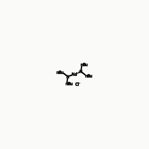 CCCC[N](CCCC)[Nd+][N](CCCC)CCCC.[Cl-]